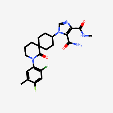 CNC(=O)c1ncn(C2CCC3(CCCN(c4cc(C)c(F)cc4Cl)C3=O)CC2)c1C(N)=O